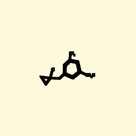 O=C(O)c1cc(CC2(Cl)CC2)cc(C(F)(F)F)c1